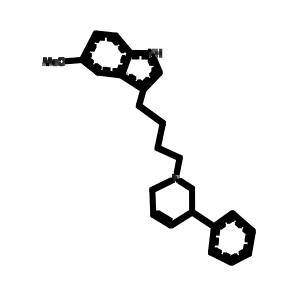 COc1ccc2[nH]cc(CCCCN3CC=CC(c4ccccc4)C3)c2c1